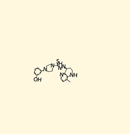 Cc1ccnc2c1NCC/C2=N/NC(=S)N1CCN(c2cccc(O)c2)CC1